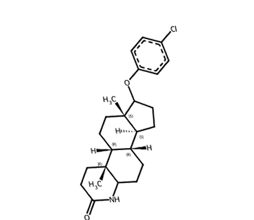 C[C@]12CCC(=O)NC1CC[C@@H]1[C@H]2CC[C@]2(C)C(Oc3ccc(Cl)cc3)CC[C@@H]12